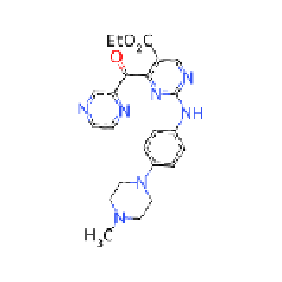 CCOC(=O)c1cnc(Nc2ccc(N3CCN(C)CC3)cc2)nc1C(=O)c1cnccn1